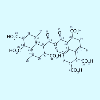 CC1=C2C(=C(C)CC(C(=O)O)C2C(=O)O)C(C(=O)OC(=O)C2C3=C(C)CC(C(=O)O)C(C(=O)O)C3=C(C)CC2C(=O)O)C(C(=O)O)C1